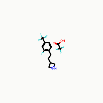 Fc1cc(C(F)(F)F)ccc1CCC1CNC1.O=C(O)C(F)(F)F